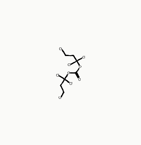 O=C(OC(Cl)(Cl)CCCl)OC(Cl)(Cl)CCCl